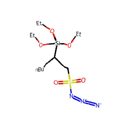 CCCCC(CS(=O)(=O)N=[N+]=[N-])[Si](OCC)(OCC)OCC